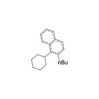 CCCCc1ccc2ccccc2c1C1CCCCC1